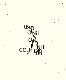 CC(C)(C)OC(=O)NCCN(CCNC(=O)OC(C)(C)C)C(=O)C#CC(=O)O